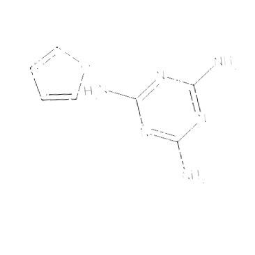 Nc1nc(N)nc(N)n1.c1ccoc1